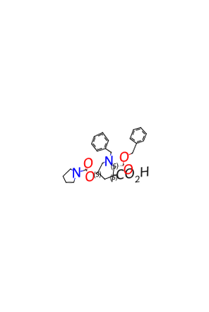 C[C@]1(C(=O)O)C[C@H](OC(=O)N2CCCC2)CN(Cc2ccccc2)[C@@H]1C(=O)OCc1ccccc1